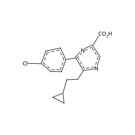 O=C(O)c1cnc(CCC2CC2)c(-c2ccc(Cl)cc2)n1